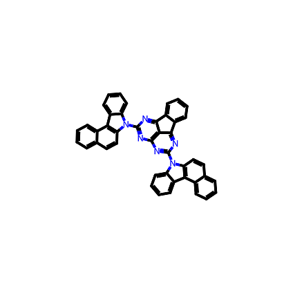 c1ccc2c(c1)-c1nc(-n3c4ccccc4c4c5ccccc5ccc43)nc3nc(-n4c5ccccc5c5c6ccccc6ccc54)nc-2c13